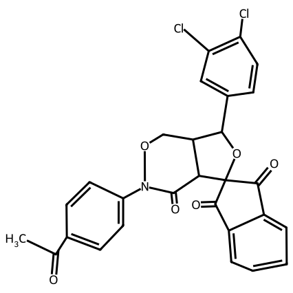 CC(=O)c1ccc(N2OCC3C(c4ccc(Cl)c(Cl)c4)OC4(C(=O)c5ccccc5C4=O)C3C2=O)cc1